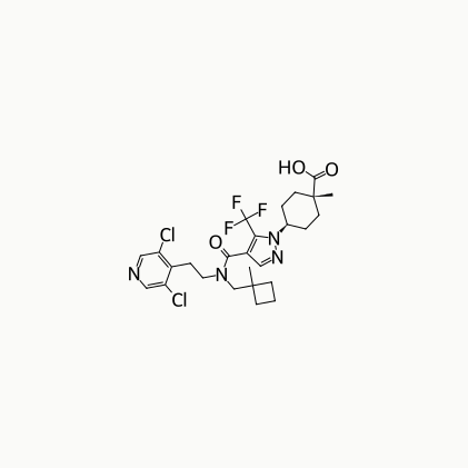 CC1(CN(CCc2c(Cl)cncc2Cl)C(=O)c2cnn([C@H]3CC[C@](C)(C(=O)O)CC3)c2C(F)(F)F)CCC1